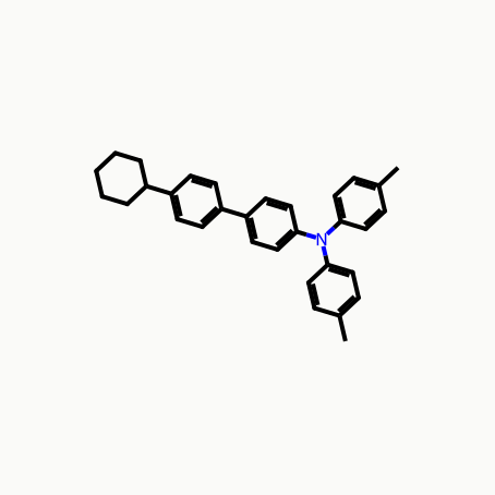 Cc1ccc(N(c2ccc(C)cc2)c2ccc(-c3ccc(C4CCCCC4)cc3)cc2)cc1